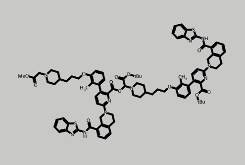 COC(=O)CN1CCC(CCCOc2cccc(-c3ccc(N4CCc5cccc(C(=O)Nc6nc7ccccc7s6)c5C4)nc3C(=O)OC(C(=O)OC(C)(C)C)N3CCC(CCCOc4cccc(-c5ccc(N6CCc7cccc(C(=O)Nc8nc9ccccc9s8)c7C6)nc5C(=O)OC(C)(C)C)c4C)CC3)c2C)CC1